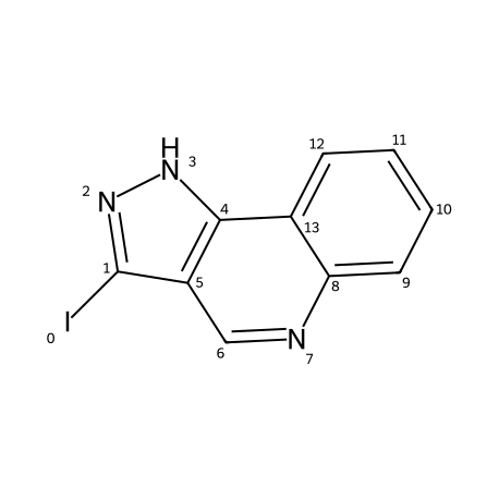 Ic1n[nH]c2c1cnc1ccccc12